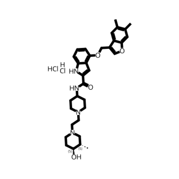 Cc1cc2occ(COc3cccc4[nH]c(C(=O)NC5CCN(CCN6CC[C@H](O)[C@@H](C)C6)CC5)cc34)c2cc1C.Cl.Cl